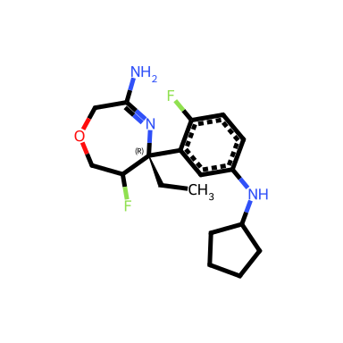 CC[C@]1(c2cc(NC3CCCC3)ccc2F)N=C(N)COCC1F